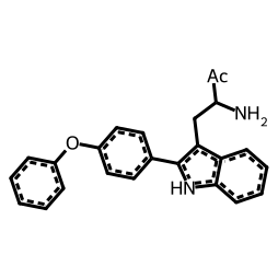 CC(=O)C(N)Cc1c(-c2ccc(Oc3ccccc3)cc2)[nH]c2ccccc12